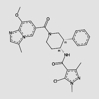 COc1cc(C(=O)N2CC[C@@H](NC(=O)c3c(C)nn(C)c3Cl)[C@@H](c3ccccc3)C2)cn2c(C)cnc12